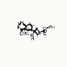 COc1ncnc2ccc(C3(O)CN(C(=O)OC(C)(C)C)C3)cc12